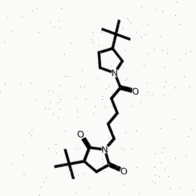 CC(C)(C)C1CCN(C(=O)CCCCN2C(=O)CC(C(C)(C)C)C2=O)C1